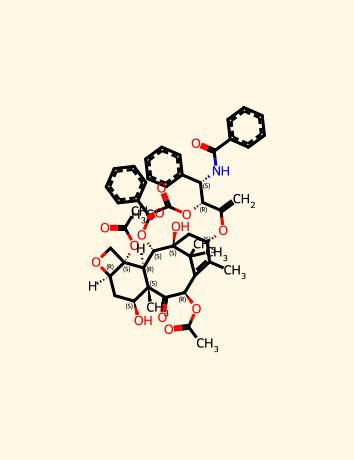 C=C(O[C@H]1C[C@@]2(O)[C@@H](OC(=O)c3ccccc3)[C@@H]3[C@]4(OC(C)=O)CO[C@@H]4C[C@H](O)[C@@]3(C)C(=O)[C@H](OC(C)=O)C(=C1C)C2(C)C)[C@H](OC(C)=O)[C@@H](NC(=O)c1ccccc1)c1ccccc1